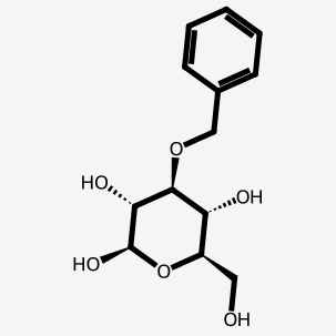 OC[C@H]1O[C@@H](O)[C@H](O)[C@@H](OCc2ccccc2)[C@@H]1O